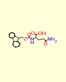 NC(=O)CCC(NC(=O)OCC1c2ccccc2-c2ccccc21)C(=O)O